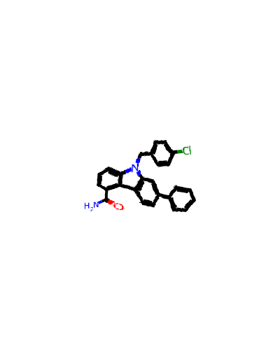 NC(=O)c1cccc2c1c1[c]cc(-c3ccccc3)cc1n2Cc1ccc(Cl)cc1